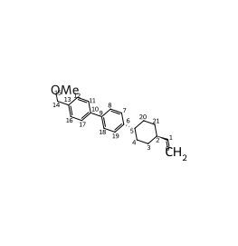 C=C[C@H]1CC[C@H](c2ccc(-c3ccc(COC)cc3)cc2)CC1